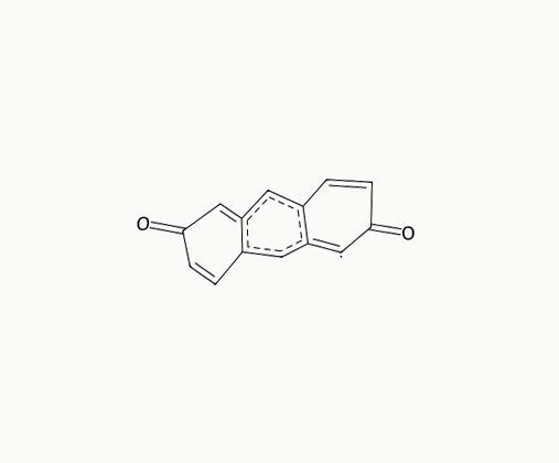 O=C1[C]=c2cc3c(cc2C=C1)=CC(=O)C=C3